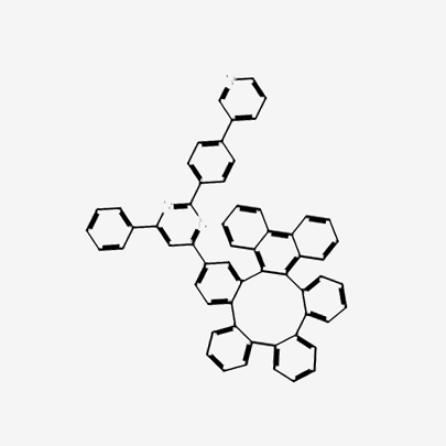 c1ccc(-c2cc(-c3ccc4c5ccccc5c5ccccc5c5ccccc5c5c6ccccc6c6ccccc6c5c4c3)nc(-c3ccc(-c4cccnc4)cc3)n2)cc1